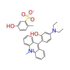 CCN(CC)c1ccc(-c2c3ccccc3[n+](C)c3ccccc23)c(O)c1.Cc1ccc(O)cc1S(=O)(=O)[O-]